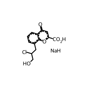 O=C(O)c1cc(=O)c2cccc(CC(Cl)CO)c2o1.[NaH]